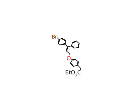 CCOC(=O)Cc1ccc(OC/C=C(\c2ccccc2)c2ccc(Br)cc2)cc1